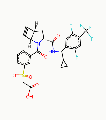 O=C(O)CS(=O)(=O)c1cccc(C(=O)N2[C@@H](C(=O)N[C@@H](c3cc(F)c(C(F)(F)F)cc3F)C3CC3)C[C@H]3C#C[C@H]32)c1